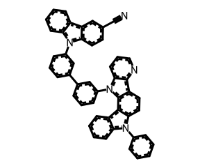 N#Cc1ccc2c(c1)c1ccccc1n2-c1cccc(-c2cccc(-n3c4cccnc4c4ccc5c(c6ccccc6n5-c5ccccc5)c43)c2)c1